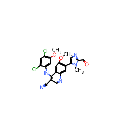 COc1cc(Nc2c(C#N)cnc3cc(-c4cnc(C=O)n4C)c(OC)cc23)c(Cl)cc1Cl